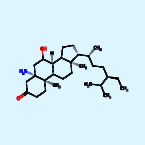 CC[C@H](CC[C@@H](C)[C@H]1CCC2[C@@H]3C(O)C[C@]4(N)CC(=O)CC[C@]4(C)C3CC[C@@]21C)C(C)C